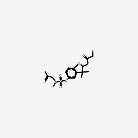 CC(=O)CN(Cl)S(=O)(=O)Oc1ccc2c(c1)C(C)(C)C(OC(=O)CCl)O2